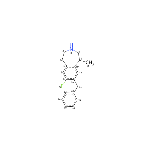 CC1CNCCc2cc(F)c(Cc3ccccc3)cc21